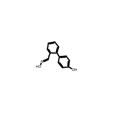 ON=Cc1ccccc1-c1ccc(O)cc1